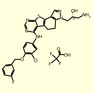 NC[C@@H](O)Cn1ncc2c1CCc1c-2sc2ncnc(Nc3ccc(OCc4cccc(F)c4)c(Cl)c3)c12.O=C(O)C(F)(F)F